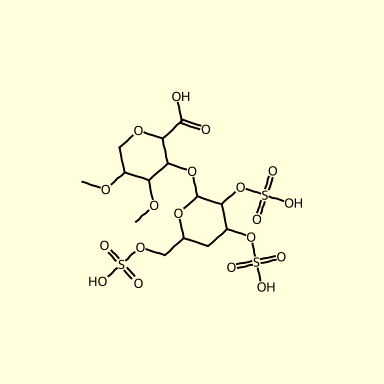 COC1COC(C(=O)O)C(OC2OC(COS(=O)(=O)O)CC(OS(=O)(=O)O)C2OS(=O)(=O)O)C1OC